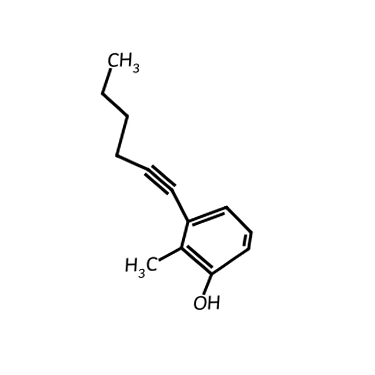 CCCCC#Cc1cccc(O)c1C